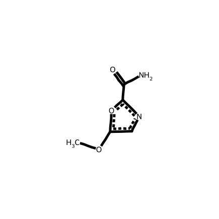 COc1cnc(C(N)=O)o1